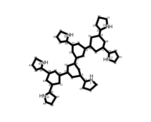 C1CNC(C2CC(C3CC(C4CC(C5CCCN5)CC(C5CCCN5)C4)CC(C4CCCN4)C3)CC(C3CC(C4CCCN4)CC(C4CCCN4)C3)C2)C1